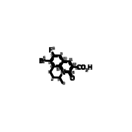 CC1CCc2c(Br)c(F)cc3cc(C(=O)O)c(=O)n1c23